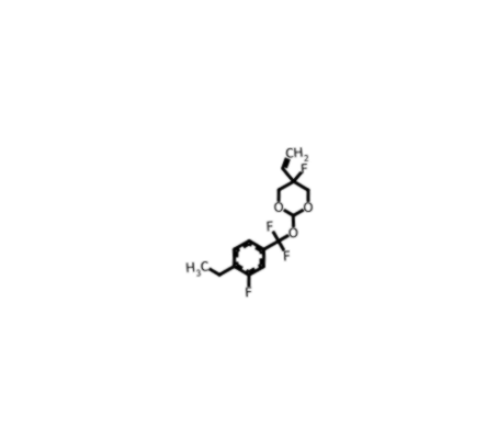 C=CC1(F)COC(OC(F)(F)c2ccc(CC)c(F)c2)OC1